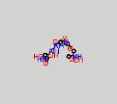 O=C(O)NC(c1ccccc1)c1cccc(OCC2CCN(C(=O)c3ccc(C(=O)NCCCNC[C@@H](O)c4ccc(O)c5[nH]c(=O)ccc45)cc3)CC2)c1